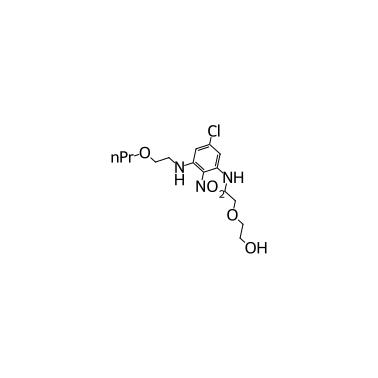 CCCOCCNc1cc(Cl)cc(NCCOCCO)c1[N+](=O)[O-]